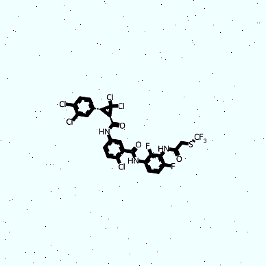 O=C(CSC(F)(F)F)Nc1c(F)ccc(NC(=O)c2cc(NC(=O)[C@H]3[C@H](c4ccc(Cl)c(Cl)c4)C3(Cl)Cl)ccc2Cl)c1F